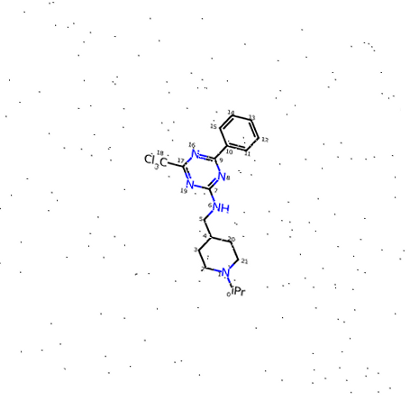 CC(C)N1CCC(CNc2nc(-c3ccccc3)nc(C(Cl)(Cl)Cl)n2)CC1